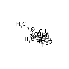 CCCCCC(=O)OCC(=O)[C@@]1(OC(=O)CC)[C@@H](C)C[C@H]2[C@@H]3C[C@H](F)C4=C(F)C(=O)C=C[C@]4(C)[C@@]3(F)[C@@H](O)C[C@@]21C